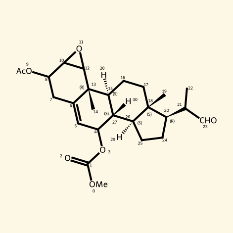 COC(=O)OC1C=C2CC(OC(C)=O)C3OC3[C@]2(C)[C@H]2CC[C@]3(C)[C@@H](C(C)C=O)CC[C@H]3[C@H]12